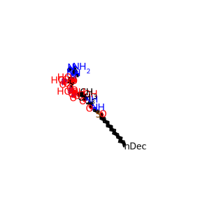 CCCCCCCCCCCCCCCCCCCCCCCC=CC(=O)SCCNC(=O)CCNC(=O)[C@H](O)C(C)(C)COP(=O)(O)OP(=O)(O)OC[C@H]1O[C@@H](n2cnc3c(N)ncnc32)[C@H](O)[C@@H]1OP(=O)(O)O